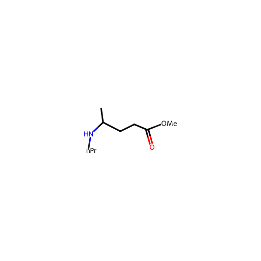 CCCNC(C)CCC(=O)OC